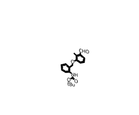 Cc1c(C=O)cccc1OCc1ccccc1NC(=O)OC(C)(C)C